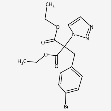 CCOC(=O)C(Cc1ccc(Br)cc1)(C(=O)OCC)n1ccnn1